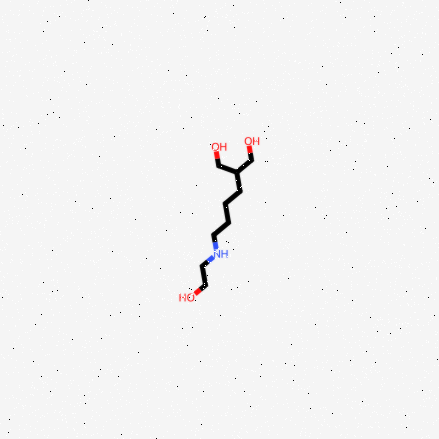 OCCNCCCCC(CO)CO